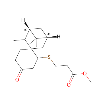 COC(=O)CCSC1CC(=O)CCC12C[C@H]1C[C@@H](C2C)C1(C)C